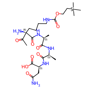 CC(=O)[C@](N)(CCCCNC(=O)OCC[Si](C)(C)C)C(=O)N[C@@H](C)C(=O)N[C@@H](C)C(=O)N[C@@H](CC(N)=O)C(=O)O